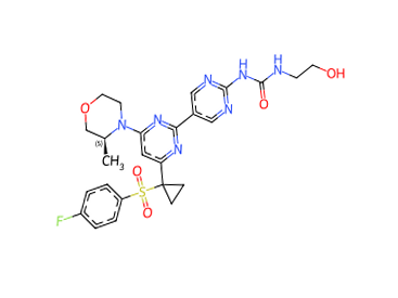 C[C@H]1COCCN1c1cc(C2(S(=O)(=O)c3ccc(F)cc3)CC2)nc(-c2cnc(NC(=O)NCCO)nc2)n1